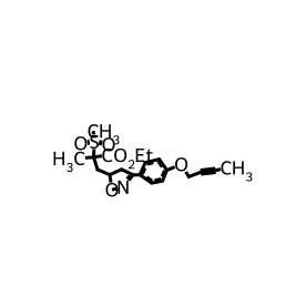 CC#CCOc1ccc(C2=NOC(CC(C)(C(=O)OCC)S(C)(=O)=O)C2)cc1